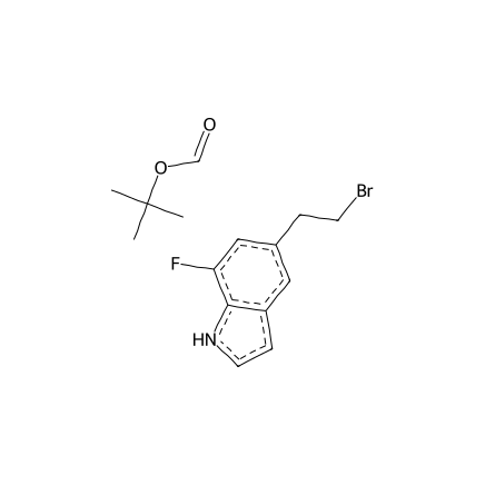 CC(C)(C)OC=O.Fc1cc(CCBr)cc2cc[nH]c12